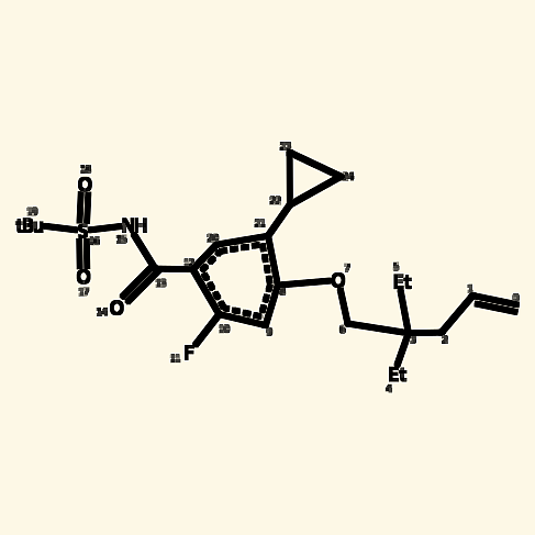 C=CCC(CC)(CC)COc1cc(F)c(C(=O)NS(=O)(=O)C(C)(C)C)cc1C1CC1